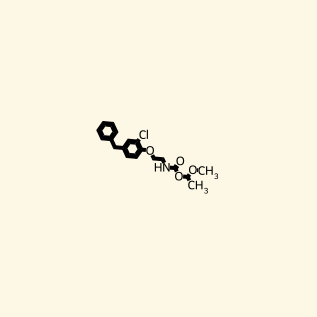 COC(C)OC(=O)NCCOc1ccc(Cc2ccccc2)cc1Cl